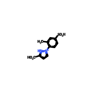 Cc1cc(S(=O)(=O)O)ccc1-[n+]1ccc(C(=O)O)[nH]1